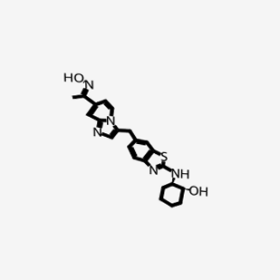 C/C(=N\O)c1ccn2c(Cc3ccc4nc(N[C@@H]5CCCC[C@H]5O)sc4c3)cnc2c1